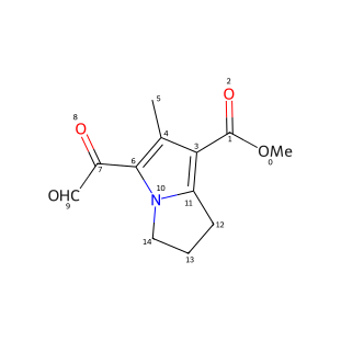 COC(=O)c1c(C)c(C(=O)C=O)n2c1CCC2